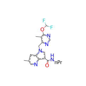 CCCNC(=O)c1cn(Cc2ncnc(OC(F)F)c2C)c2cc(C)cnc12